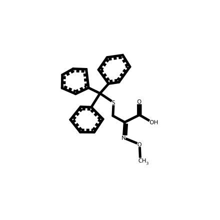 CO/N=C(/CSC(c1ccccc1)(c1ccccc1)c1ccccc1)C(=O)O